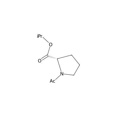 CC(=O)N1CCC[C@H]1C(=O)OC(C)C